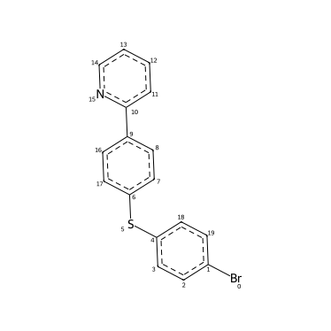 Brc1ccc(Sc2ccc(-c3ccccn3)cc2)cc1